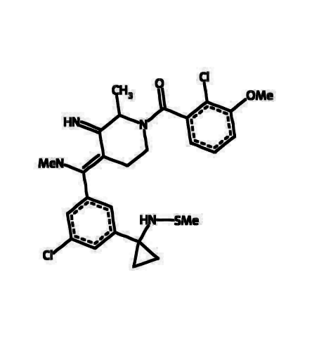 CN/C(=C1/CCN(C(=O)c2cccc(OC)c2Cl)C(C)C1=N)c1cc(Cl)cc(C2(NSC)CC2)c1